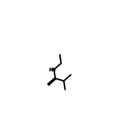 C=C(NCC)C(C)C